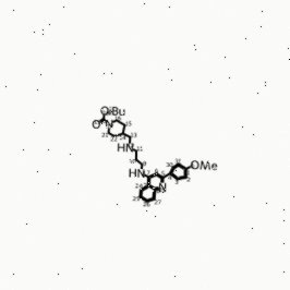 COc1ccc(-c2cc(NCCCNCC3CCN(C(=O)OCC(C)C)CC3)c3ccccc3n2)cc1